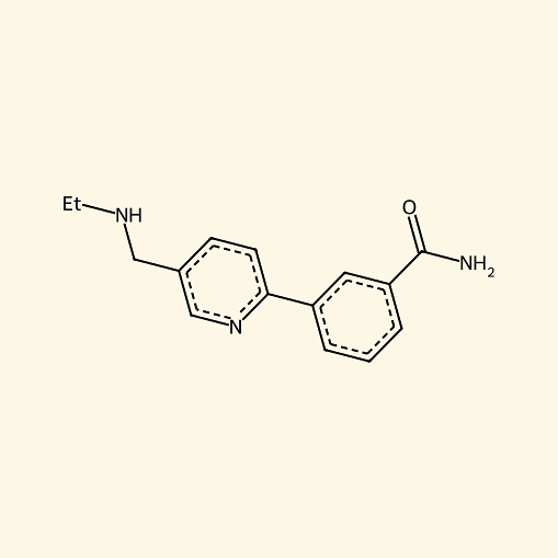 CCNCc1ccc(-c2cccc(C(N)=O)c2)nc1